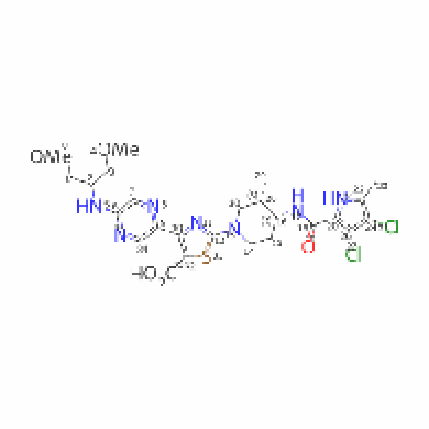 COCC(COC)Nc1cnc(-c2nc(N3CC[C@@H](NC(=O)c4[nH]c(C)c(Cl)c4Cl)[C@@H](C)C3)sc2C(=O)O)cn1